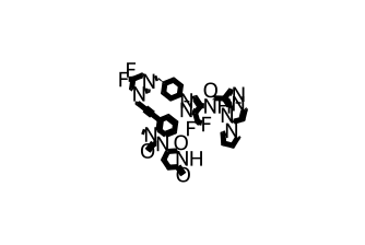 Cn1c(=O)n(C2CCC(=O)NC2=O)c2cccc(C#CCN3CN(C[C@H]4CC[C@H](n5cc(NC(=O)c6cnn7ccc(N8CCCC8)nc67)c(C(F)F)n5)CC4)CC(F)(F)C3)c21